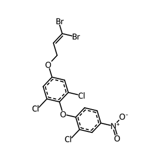 O=[N+]([O-])c1ccc(Oc2c(Cl)cc(OCC=C(Br)Br)cc2Cl)c(Cl)c1